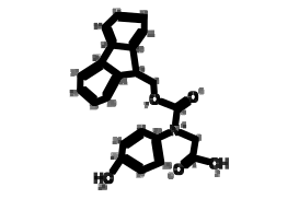 O=C(O)CN(C(=O)OCC1c2ccccc2-c2ccccc21)c1ccc(O)cc1